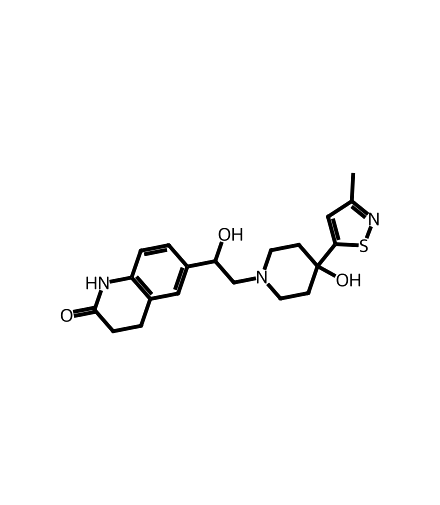 Cc1cc(C2(O)CCN(CC(O)c3ccc4c(c3)CCC(=O)N4)CC2)sn1